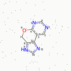 c1ncc2c(n1)OCc1[nH]cnc1-2